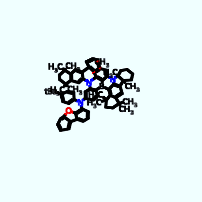 Cc1cc2c3c(c1)N1c4c(cc5c(c4B3c3ccc(N(c4ccc(C(C)(C)C)cc4)c4cccc6c4oc4ccccc46)cc3N2c2cc3c(cc2-c2ccccc2)C(C)(C)CCC3(C)C)C(C)(C)CCC5(C)C)C2(C)CCCCC12C